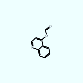 O=COc1ccnc2ccccc12